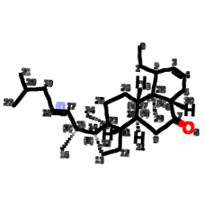 CCC1C=CC[C@@H]2C(=O)C[C@H]3[C@@H]4CC[C@H]([C@H](C)/C=C/CC(C)C)[C@@]4(C)CC[C@@H]3[C@@]12C